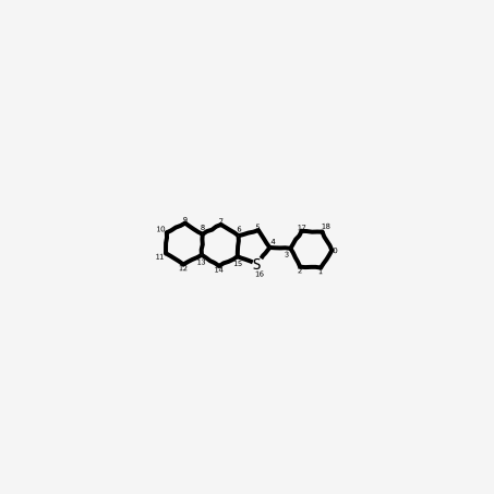 C1CCC(C2CC3CC4CCCCC4CC3S2)CC1